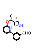 CC(Oc1cccc(-c2cccc(C=O)c2)n1)C1CNC1